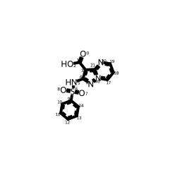 O=C(O)c1c(NS(=O)(=O)c2ccccc2)nn2cccnc12